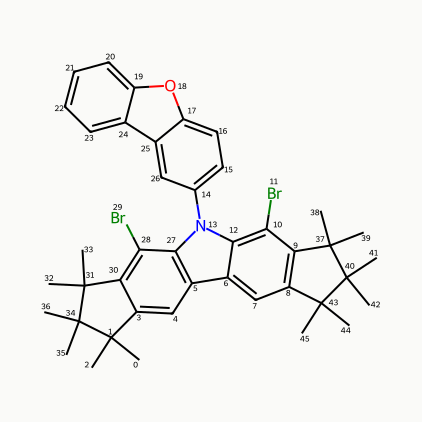 CC1(C)c2cc3c4cc5c(c(Br)c4n(-c4ccc6oc7ccccc7c6c4)c3c(Br)c2C(C)(C)C1(C)C)C(C)(C)C(C)(C)C5(C)C